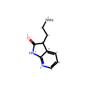 CNCCC1C(=O)Nc2ncccc21